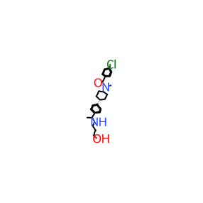 CC(NCCCO)c1ccc([C@H]2CC[C@H](N(C)C(=O)c3ccc(Cl)cc3)CC2)cc1